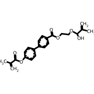 C=C(C)C(=O)Oc1ccc(-c2ccc(C(=O)OCCOC(O)C(=C)C)cc2)cc1